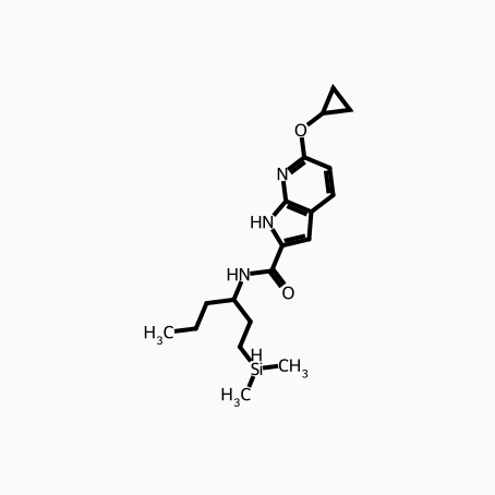 CCCC(CC[SiH](C)C)NC(=O)c1cc2ccc(OC3CC3)nc2[nH]1